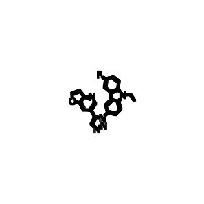 CCn1c2ccc(F)cc2c2cc(-n3nncc3-c3cnc4ccoc4c3)ccc21